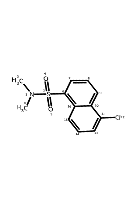 CN(C)S(=O)(=O)c1cccc2c(Cl)cccc12